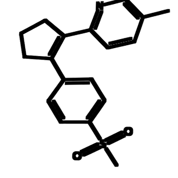 Cc1ccc(C2=C(c3ccc(S(C)(=O)=O)cc3)CCC2)nc1